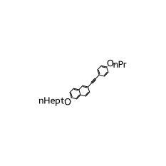 CCCCCCCOc1ccc2cc(C#Cc3ccc(OCCC)cc3)ccc2c1